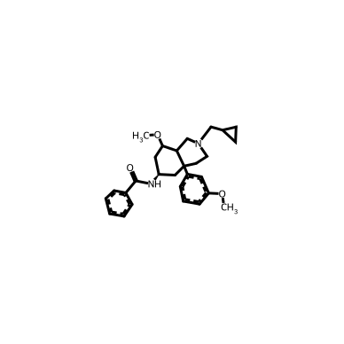 COc1cccc(C23CCN(CC4CC4)CC2C(OC)C[C@H](NC(=O)c2ccccc2)C3)c1